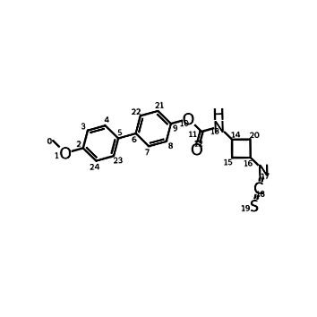 COc1ccc(-c2ccc(OC(=O)NC3CC(N=C=S)C3)cc2)cc1